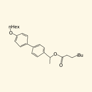 CCCCCCOc1ccc(-c2ccc(C(C)OC(=O)CCC(C)CC)cc2)cc1